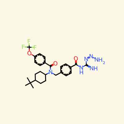 CC(C)(C)C1CCC(N(Cc2ccc(C(=O)NC(=N)/N=N\N)cc2)C(=O)c2ccc(OC(F)(F)F)cc2)CC1